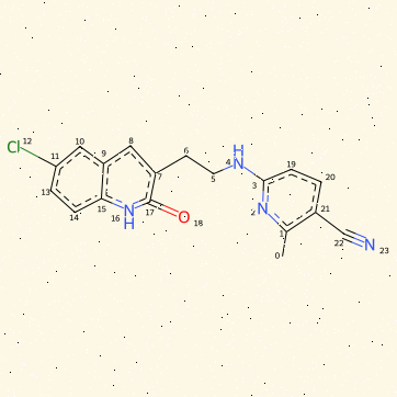 Cc1nc(NCCc2cc3cc(Cl)ccc3[nH]c2=O)ccc1C#N